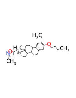 CCCCOc1cc2c(cc1CC)C1CC[C@@]3(C)C(CC[C@@H]3Cc3cc(C)no3)C1CC2